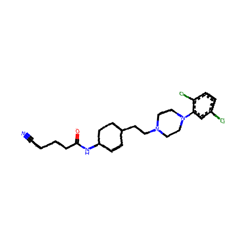 N#CCCCC(=O)NC1CCC(CCN2CCN(c3cc(Cl)ccc3Cl)CC2)CC1